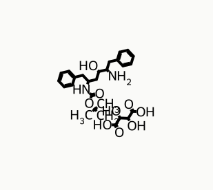 CC(C)(C)OC(=O)NC(Cc1ccccc1)CC(O)C(N)Cc1ccccc1.O=C(O)C(O)C(O)C(=O)O